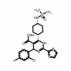 COC(=O)C1=C([C@H]2CC[C@@H](N[SH](C)(=O)P)CC2)NC(c2nccs2)=NC1c1ccc(F)cc1Cl